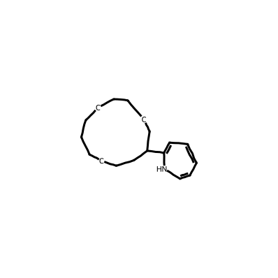 C1=CC=C(C2CCCCCCCCCCC2)NC=C1